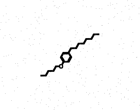 CCCCCCCCc1ccc(OCCCCC)cc1